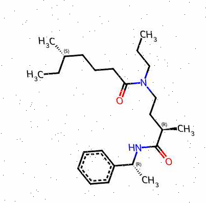 CCCN(CC[C@@H](C)C(=O)N[C@H](C)c1ccccc1)C(=O)CCC[C@@H](C)CC